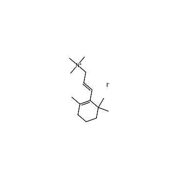 CC1=C(/C=C/C[N+](C)(C)C)C(C)(C)CCC1.[I-]